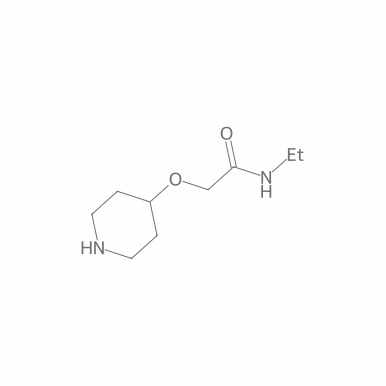 CCNC(=O)COC1CCNCC1